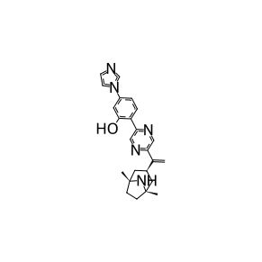 C=C(c1cnc(-c2ccc(-n3ccnc3)cc2O)cn1)[C@H]1C[C@]2(C)CC[C@](C)(C1)N2